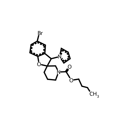 CCCCOC(=O)N1CCCC2(C1)Oc1ccc(Br)cc1C2n1cccc1